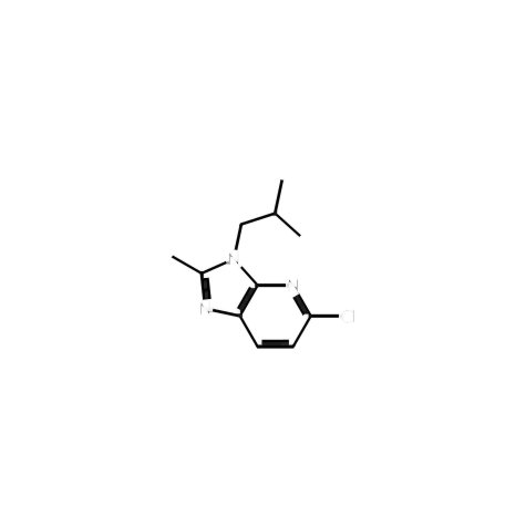 Cc1nc2ccc(Cl)nc2n1CC(C)C